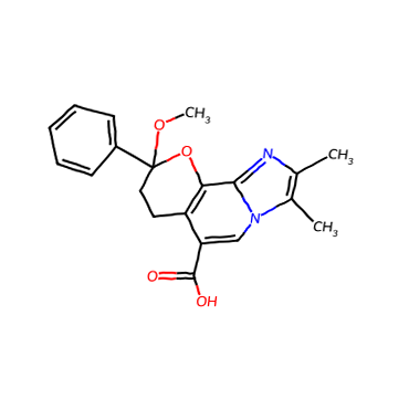 COC1(c2ccccc2)CCc2c(C(=O)O)cn3c(C)c(C)nc3c2O1